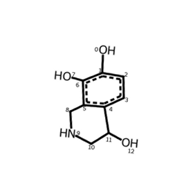 Oc1ccc2c(c1O)CNCC2O